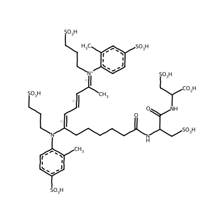 CC(/C=C/C=C(\CCCCCC(=O)NC(CS(=O)(=O)O)C(=O)NC(CS(=O)(=O)O)C(=O)O)N(CCCS(=O)(=O)O)c1ccc(S(=O)(=O)O)cc1C)=[N+](/CCCS(=O)(=O)O)c1ccc(S(=O)(=O)O)cc1C